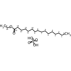 CCCCCCCCCCCCCCCC(=O)OCC.O=S(=O)(O)O